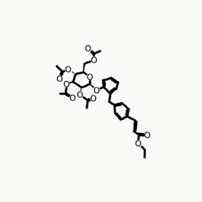 CCOC(=O)/C=C/c1ccc(Cc2ccccc2O[C@@H]2O[C@H](COC(C)=O)[C@@H](OC(C)=O)[C@H](OC(C)=O)[C@H]2OC(C)=O)cc1